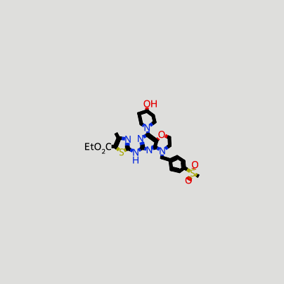 CCOC(=O)c1sc(Nc2nc(N3CCC(O)CC3)c3c(n2)N(Cc2ccc(S(C)(=O)=O)cc2)CCO3)nc1C